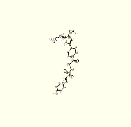 C/N=c1\sc(C2CCN(C(=O)CCS(=O)(=O)/C=C/c3ccc(Cl)cc3)CC2)cn1C